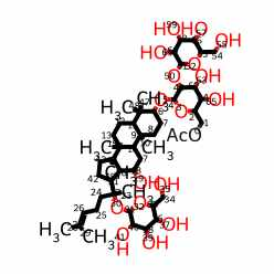 CC(=O)OCC1OC(OC2CCC3(C)C(CCC4(C)C3CC(O)C3C(C(C)(CCC=C(C)C)OC5OC(CO)C(O)C(O)C5O)CCC34C)C2(C)C)C(OC2OC(CO)C(O)C(O)C2O)C(O)C1O